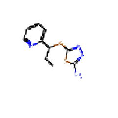 CCC(Sc1nnc(N)s1)c1ccccn1